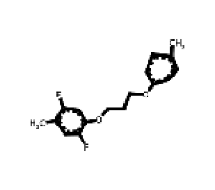 Cc1ccc(OCCCOc2cc(F)c(C)cc2F)cc1